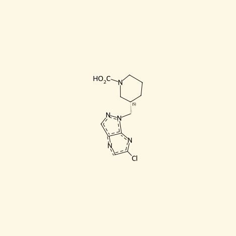 O=C(O)N1CCC[C@H](Cn2ncc3ncc(Cl)nc32)C1